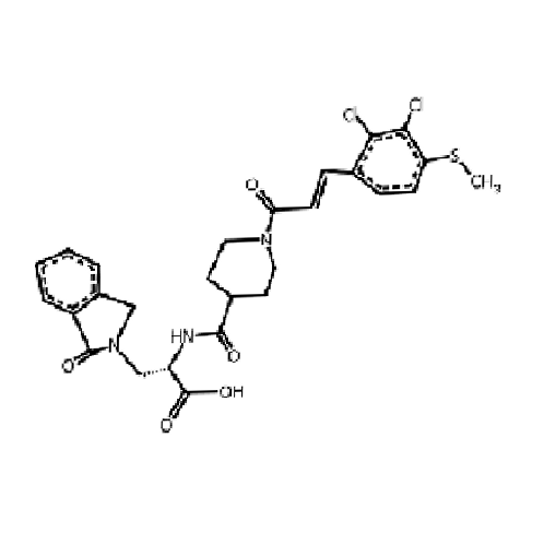 CSc1ccc(/C=C/C(=O)N2CCC(C(=O)N[C@@H](CN3Cc4ccccc4C3=O)C(=O)O)CC2)c(Cl)c1Cl